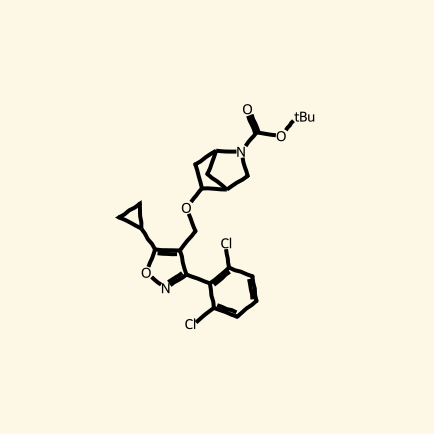 CC(C)(C)OC(=O)N1CC2CC1CC2OCc1c(-c2c(Cl)cccc2Cl)noc1C1CC1